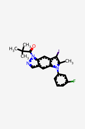 Cc1c(I)c2cc3c(cnn3C(=O)C(C)(C)C)cc2n1-c1cccc(F)c1